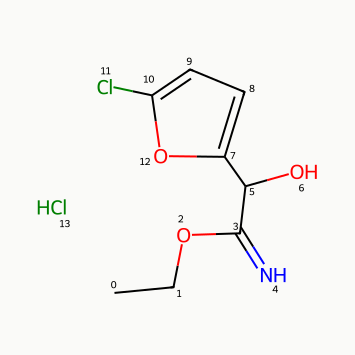 CCOC(=N)C(O)c1ccc(Cl)o1.Cl